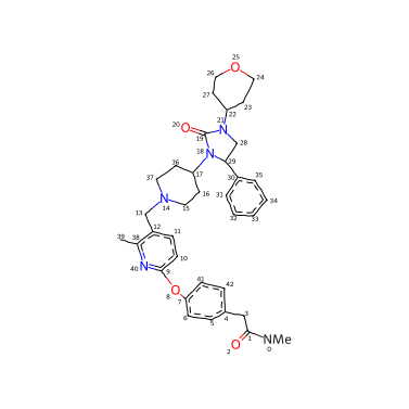 CNC(=O)Cc1ccc(Oc2ccc(CN3CCC(N4C(=O)N(C5CCOCC5)CC4c4ccccc4)CC3)c(C)n2)cc1